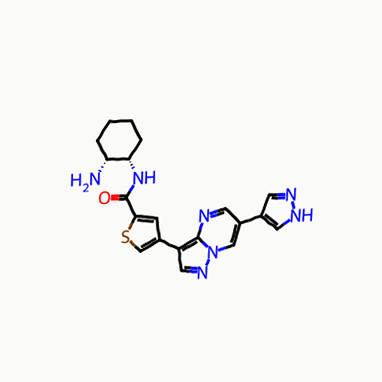 N[C@@H]1CCCC[C@@H]1NC(=O)c1cc(-c2cnn3cc(-c4cn[nH]c4)cnc23)cs1